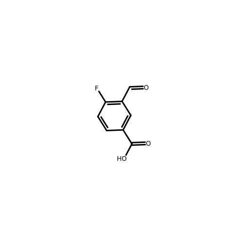 O=Cc1cc(C(=O)O)ccc1F